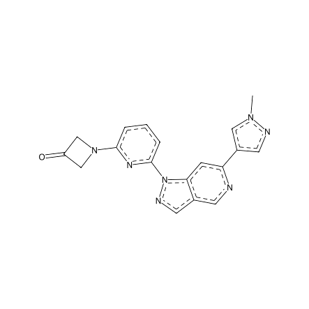 Cn1cc(-c2cc3c(cn2)cnn3-c2cccc(N3CC(=O)C3)n2)cn1